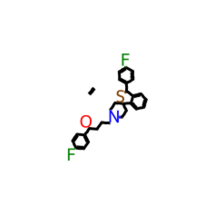 C=C.O=C(CCCN1CCC2(CC1)SC(c1ccc(F)cc1)c1ccccc12)c1ccc(F)cc1